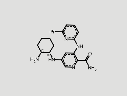 CC(C)c1cccc(Nc2cc(N[C@@H]3CCCC[C@@H]3N)cnc2C(N)=O)n1